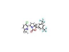 Cc1ccc(Cl)c([C@@H]2CC[C@H]3[C@@H](c4cc(C(F)(F)F)cc(C(F)(F)F)c4)OC(=O)N23)n1